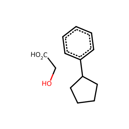 O=C(O)CO.c1ccc(C2CCCC2)cc1